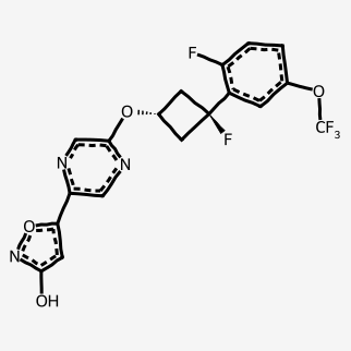 Oc1cc(-c2cnc(O[C@H]3C[C@@](F)(c4cc(OC(F)(F)F)ccc4F)C3)cn2)on1